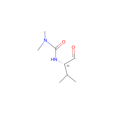 CC(C)[C@@H]([C]=O)NC(=O)N(C)C